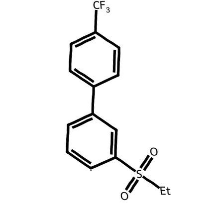 CCS(=O)(=O)c1[c]ccc(-c2ccc(C(F)(F)F)cc2)c1